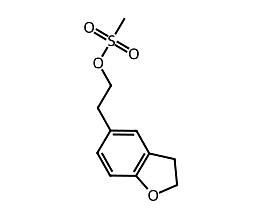 CS(=O)(=O)OCCc1ccc2c(c1)CCO2